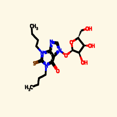 CCCCn1c(=O)c2c(ncn2O[C@H]2O[C@H](CO)[C@@H](O)[C@H]2O)n(CCCC)c1=S